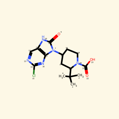 CC(C)(C)C1CC(n2c(=O)[nH]c3cnc(Cl)nc32)CCN1C(=O)O